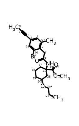 CC#Cc1cc(C)c(CC(=O)NC2(C(=O)OC)CCCC(OCCC)C2)c(Br)c1